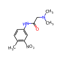 Cc1ccc(NC(=O)CN(C)C)cc1[N+](=O)[O-]